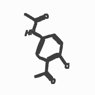 CC(=O)Nc1ccc(Cl)c(C(C)=O)c1